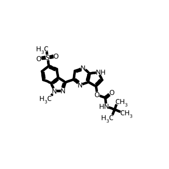 Cn1nc(-c2cnc3[nH]cc(OC(=O)NC(C)(C)C)c3n2)c2cc(S(C)(=O)=O)ccc21